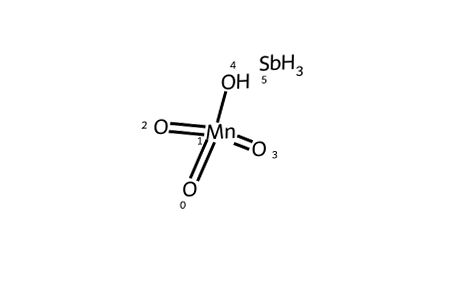 [O]=[Mn](=[O])(=[O])[OH].[SbH3]